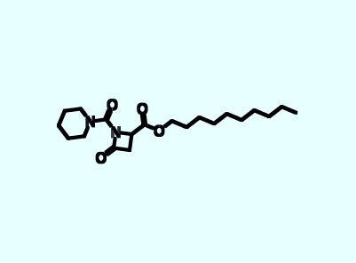 CCCCCCCCCCOC(=O)C1CC(=O)N1C(=O)N1CCCCC1